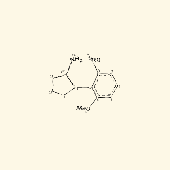 COc1cccc(OC)c1C1CCCC1N